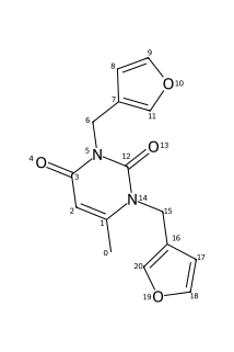 Cc1cc(=O)n(Cc2ccoc2)c(=O)n1Cc1ccoc1